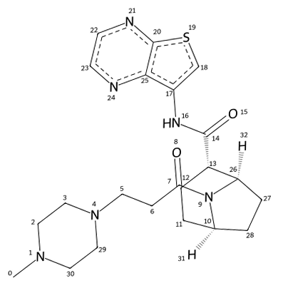 CN1CCN(CCC(=O)N2[C@@H]3CC[C@H](C(=O)Nc4csc5nccnc45)[C@H]2CC3)CC1